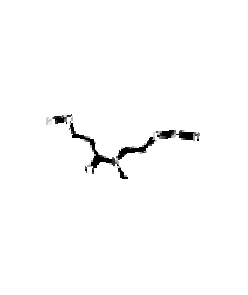 CCOCCC(=O)N(C)CCN=[N+]=[N-]